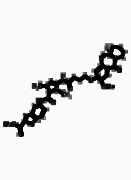 COC(=O)c1cc2cc(NC(=O)C3N(C)C=C(NC(=O)CCCOc4cc5c(cc4OC)C(=O)N4CCCC[C@@H]4C=N5)N3C)ccc2s1